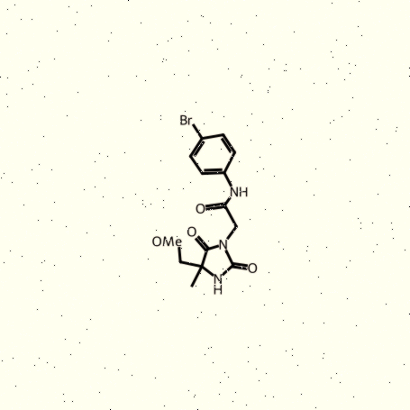 COCC1(C)NC(=O)N(CC(=O)Nc2ccc(Br)cc2)C1=O